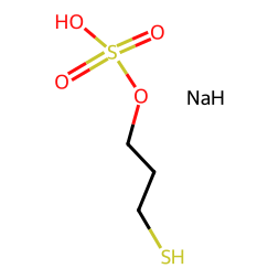 O=S(=O)(O)OCCCS.[NaH]